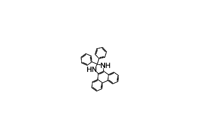 c1ccc(C2(c3ccccc3)Nc3c(c4ccccc4c4ccccc34)N2)cc1